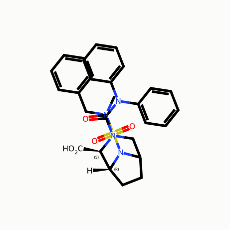 CN(Cc1ccccc1)S(=O)(=O)N1C2CC[C@@H]1[C@@H](C(=O)O)N(C(=O)N(c1ccccc1)c1ccccc1)C2